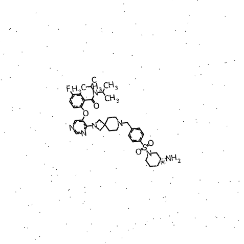 CC(C)N(C(=O)c1cc(F)ccc1Oc1cncnc1N1CC2(CCN(Cc3ccc(S(=O)(=O)N4CCC[C@@H](N)C4)cc3)CC2)C1)C(C)C